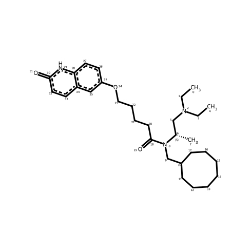 CCN(CC)C[C@H](C)N(CC1CCCCCCC1)C(=O)CCCCOc1ccc2[nH]c(=O)ccc2c1